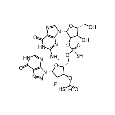 Nc1nc2c(ncn2[C@@H]2O[C@H](CO)[C@@H](O)[C@H]2OP(=O)(S)OC[C@H]2O[C@@H](n3nnc4c(=O)[nH]cnc43)[C@@H](F)[C@@H]2O[PH](=O)S)c(=O)[nH]1